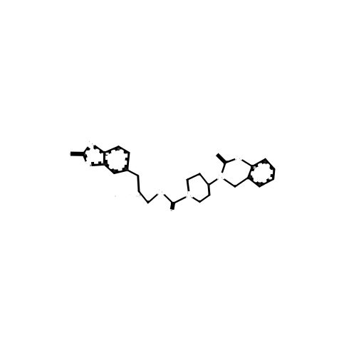 O=C(O)[C@@H](CNC(=O)N1CCC(N2Cc3ccccc3NC2=O)CC1)Cc1ccc2[nH]c(=O)oc2c1